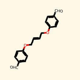 O=Cc1ccc(OC/C=C/COc2ccc(C=O)cc2)cc1